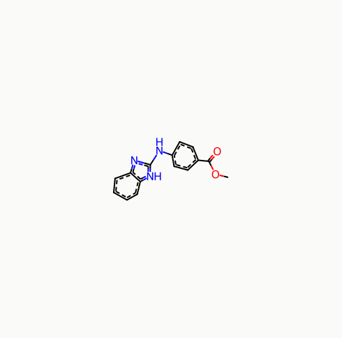 COC(=O)c1ccc(Nc2nc3ccccc3[nH]2)cc1